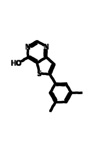 Cc1cc(C)cc(-c2cc3ncnc(O)c3s2)c1